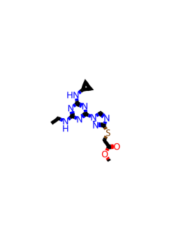 CCNc1nc(NC2CC2)nc(-n2cnc(SCC(=O)OC)n2)n1